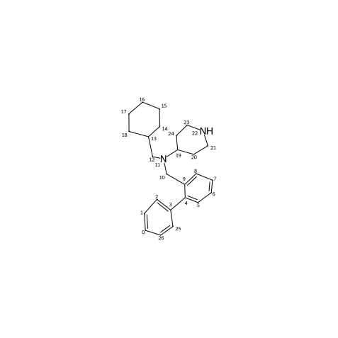 c1ccc(-c2ccccc2CN(CC2CCCCC2)C2CCNCC2)cc1